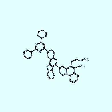 C=C/C=C\c1c(C)c2ccccc2c2ccc(-c3nc4ccc(-c5cc(-c6ccccc6)nc(-c6ccccc6)n5)cc4c4sc5ccccc5c34)cc12